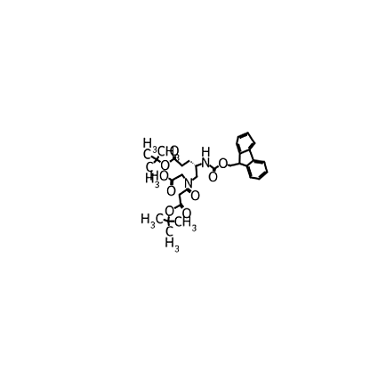 CC(C)(C)OC(=O)CC[C@@H](CN(CC(=O)O)C(=O)CC(=O)OC(C)(C)C)NC(=O)OCC1c2ccccc2-c2ccccc21